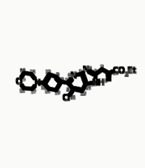 C=C(Cc1nc2nc(C3=CC=C(N4CCOCC4)CC3)c(Cl)cc2[nH]1)C(=O)OCC